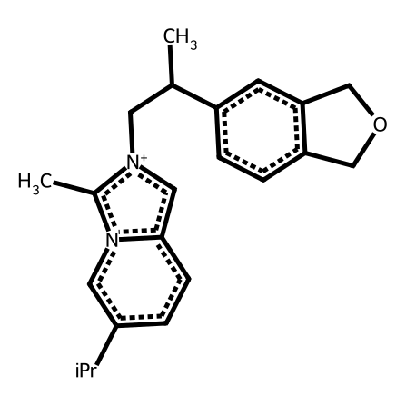 Cc1n2cc(C(C)C)ccc2c[n+]1CC(C)c1ccc2c(c1)COC2